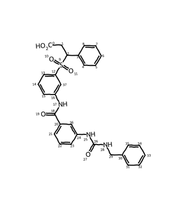 O=C(O)CC(c1ccccc1)S(=O)(=O)c1cccc(NC(=O)c2cccc(NC(=O)NCc3ccccc3)c2)c1